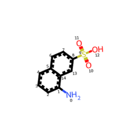 Nc1cc[c]c2ccc(S(=O)(=O)O)cc12